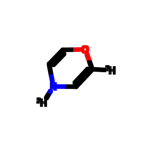 [2H]C1=CN([2H])C=CO1